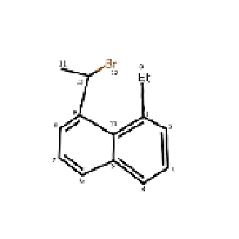 CCc1cccc2cccc(C(C)Br)c12